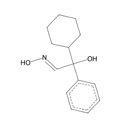 ON=CC(O)(c1ccccc1)C1CCCCC1